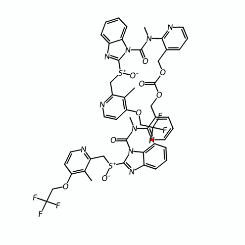 Cc1c(OCC(F)(F)F)ccnc1C[S+]([O-])c1nc2ccccc2n1C(=O)N(C)c1ncccc1COC(=O)OCc1cccnc1N(C)C(=O)n1c([S+]([O-])Cc2nccc(OCC(F)(F)F)c2C)nc2ccccc21